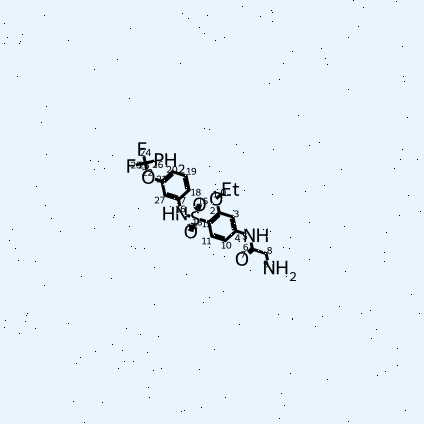 CCOc1cc(NC(=O)CN)ccc1S(=O)(=O)Nc1cccc(OC(F)(F)P)c1